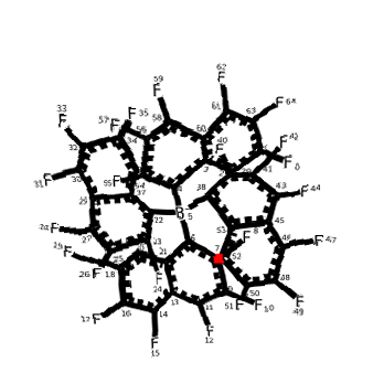 Fc1cc2c([B-](c3c(F)c(F)c(F)c4c(F)c(F)c(F)cc34)(c3c(F)c(F)c(F)c4c(F)c(F)c(F)cc34)c3c(F)c(F)c(F)c4c(F)c(F)c(F)cc34)c(F)c(F)c(F)c2c(F)c1F